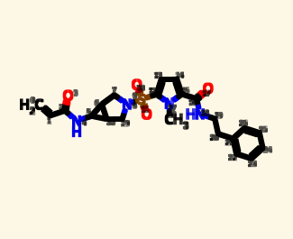 C=CC(=O)NC1C2CN(S(=O)(=O)c3ccc(C(=O)NCCc4ccccc4)n3C)CC21